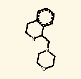 c1ccc2c(c1)CC[N]C2CN1CCOCC1